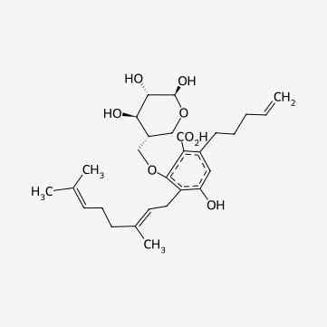 C=CCCCc1cc(O)c(C/C=C(\C)CCC=C(C)C)c(OC[C@H]2CO[C@H](O)[C@@H](O)[C@@H]2O)c1C(=O)O